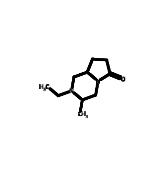 CCN1CC2CCC(=O)N2CC1C